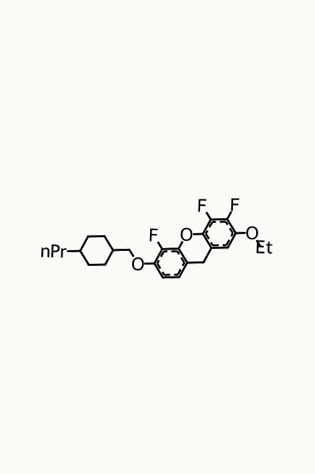 CCCC1CCC(COc2ccc3c(c2F)Oc2c(cc(OCC)c(F)c2F)C3)CC1